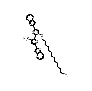 CCCCCCCCCCCCCCSc1cc(-c2cc3ccccc3s2)sc1-c1sc(-c2cc3ccccc3s2)cc1C